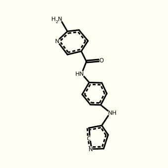 Nc1ccc(C(=O)Nc2ccc(Nc3ccncc3)cc2)cn1